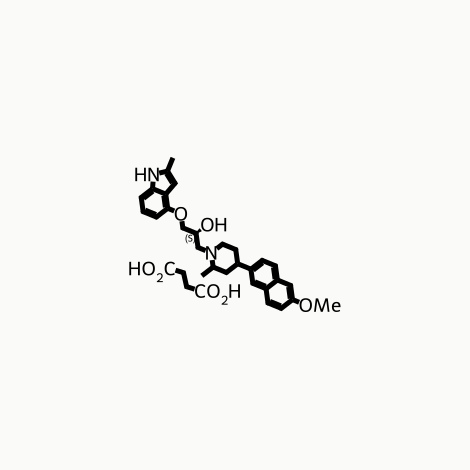 COc1ccc2cc(C3CCN(C[C@H](O)COc4cccc5[nH]c(C)cc45)C(C)C3)ccc2c1.O=C(O)CCC(=O)O